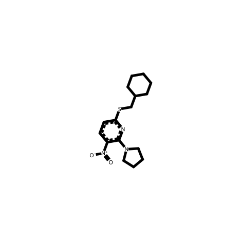 O=[N+]([O-])c1ccc(SCC2CCCCC2)nc1N1CCCC1